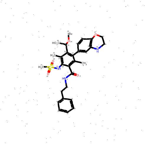 Cc1c(C(=O)NCCc2ccccc2)c(NS(C)(=O)=O)c(C)c(C(OC(C)(C)C)C(=O)O)c1-c1ccc2c(c1)NCCO2